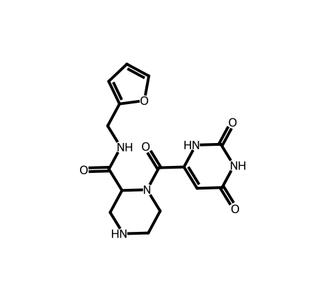 O=C(NCc1ccco1)C1CNCCN1C(=O)c1cc(=O)[nH]c(=O)[nH]1